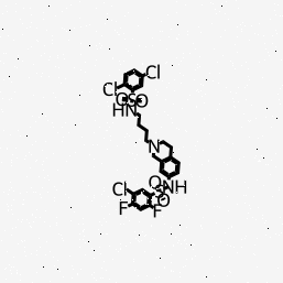 O=S(=O)(Nc1ccc2c(c1)CN(CCCCNS(=O)(=O)c1cc(Cl)ccc1Cl)CC2)c1cc(Cl)c(F)cc1F